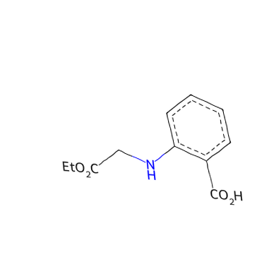 CCOC(=O)CNc1ccccc1C(=O)O